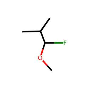 COC(F)C(C)C